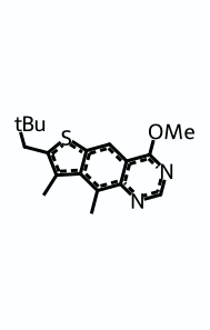 COc1ncnc2c(C)c3c(C)c(CC(C)(C)C)sc3cc12